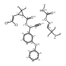 CC1(C)C(C=C(Cl)Cl)C1C(=O)OC(C#N)c1cccc(Oc2ccccc2)c1.CNC(=O)O/N=C/C(C)(C)SC